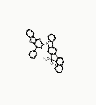 CC1(C)c2cc3c(cc2-c2ccc4ccccc4c21)c1ccccc1n3-c1nc(-c2ccccc2)c2sc3ccccc3c2n1